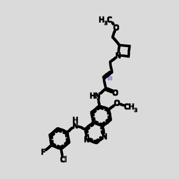 COCC1CCN1C/C=C/C(=O)Nc1cc2c(Nc3ccc(F)c(Cl)c3)ncnc2cc1OC